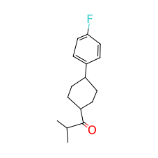 CC(C)C(=O)C1CCC(c2ccc(F)cc2)CC1